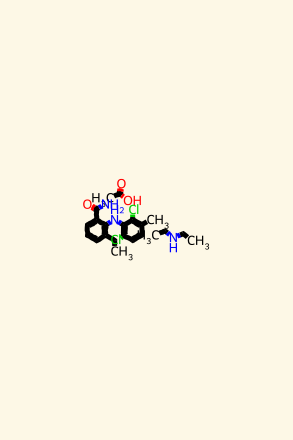 CC(=O)O.CCNCC.CCc1cccc(C(N)=O)c1Nc1c(Cl)ccc(C)c1Cl